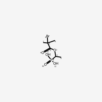 CC(OC(=O)C(C)(C)Br)P(=O)(O)O